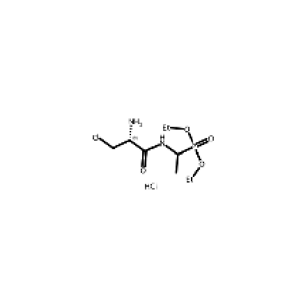 CCOP(=O)(OCC)C(C)NC(=O)[C@@H](N)CCl.Cl